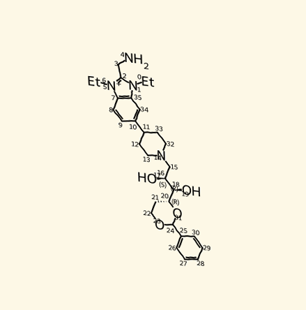 CCn1c(CN)[n+](CC)c2ccc(C3CCN(C[C@H](O)[C@@H](O)[C@H]4CCOC(c5ccccc5)O4)CC3)cc21